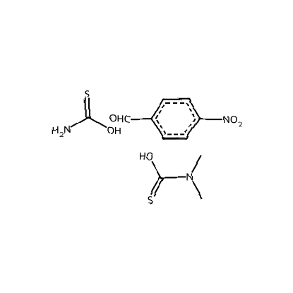 CN(C)C(O)=S.NC(O)=S.O=Cc1ccc([N+](=O)[O-])cc1